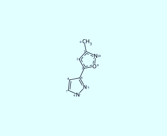 Cc1cc(C2=N[N]C=C2)on1